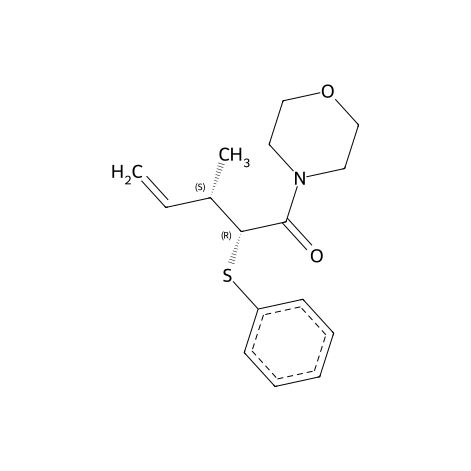 C=C[C@H](C)[C@@H](Sc1ccccc1)C(=O)N1CCOCC1